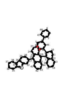 c1ccc(-c2cccc(-c3ccc4ccccc4c3-c3c4ccccc4c(-c4ccc5c(c4)oc4ccccc45)c4ccccc34)c2)cc1